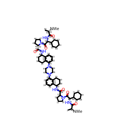 CN[C@@H](C)C(=O)N[C@H](C(=O)N1CCCC1C(=O)N[C@@H]1CCCc2c1cccc2N1CCN(c2cccc3c2CCC[C@H]3NC(=O)[C@@H]2CCCN2C(=O)[C@@H](NC(=O)[C@H](C)NC)C2CCCCC2)CC1)C1CCCCC1